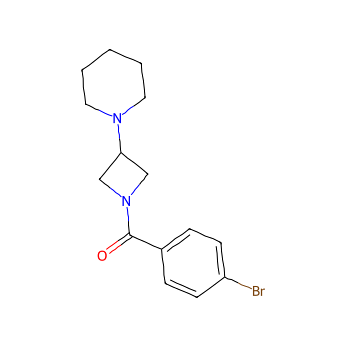 O=C(c1ccc(Br)cc1)N1CC(N2CCCCC2)C1